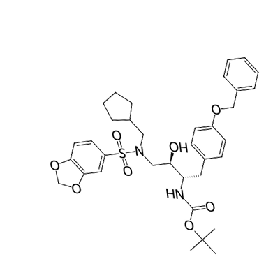 CC(C)(C)OC(=O)N[C@@H](Cc1ccc(OCc2ccccc2)cc1)[C@H](O)CN(CC1CCCC1)S(=O)(=O)c1ccc2c(c1)OCO2